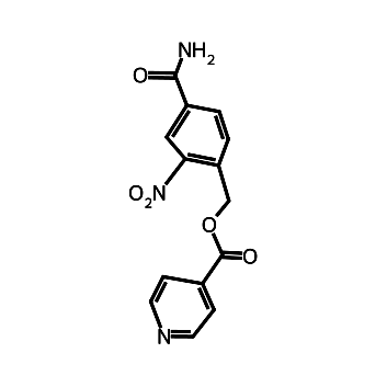 NC(=O)c1ccc(COC(=O)c2ccncc2)c([N+](=O)[O-])c1